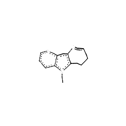 Cn1c2c(c3ncccc31)N=CCC2